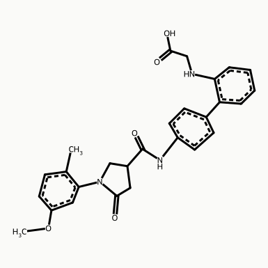 COc1ccc(C)c(N2CC(C(=O)Nc3ccc(-c4ccccc4NCC(=O)O)cc3)CC2=O)c1